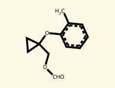 Cc1ccccc1OC1(COC=O)CC1